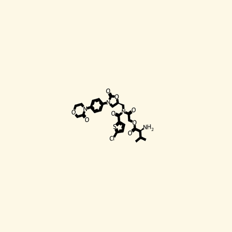 CC(C)[C@H](N)C(=O)OCC(=O)N(C[C@H]1CN(c2ccc(N3CCOCC3=O)cc2)C(=O)O1)C(=O)c1ccc(Cl)s1